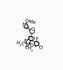 COc1cc([C@@H]2C[C@@H](c3cc4nc(C)n(C)c(=O)c4c(-c4ccc(Cl)cc4F)n3)CCO2)ccn1